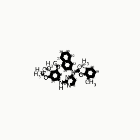 COc1cc(Nc2nccc(N(C(=O)Oc3c(C)cccc3C)c3ccc4ccccc4c3)n2)cc(OC)c1OC